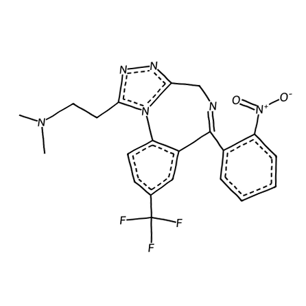 CN(C)CCc1nnc2n1-c1ccc(C(F)(F)F)cc1C(c1ccccc1[N+](=O)[O-])=NC2